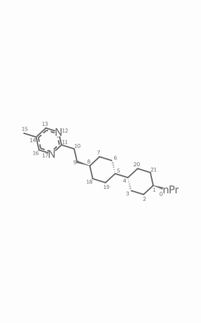 CCC[C@H]1CC[C@H]([C@H]2CC[C@H](CCc3ncc(C)cn3)CC2)CC1